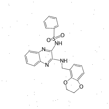 O=S(=O)(Nc1nc2ccccc2nc1NCc1cccc2c1OCCO2)c1ccccc1